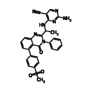 CC(Nc1nc(N)ncc1C#N)c1nc2cccc(-c3ccc(S(C)(=O)=O)cc3)c2c(=O)n1-c1ccccc1